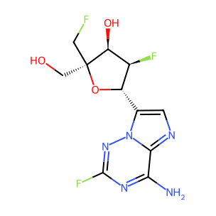 Nc1nc(F)nn2c([C@@H]3O[C@@](CO)(CF)[C@@H](O)[C@H]3F)cnc12